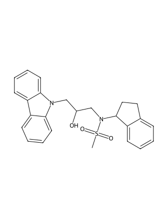 CS(=O)(=O)N(CC(O)Cn1c2ccccc2c2ccccc21)C1CCc2ccccc21